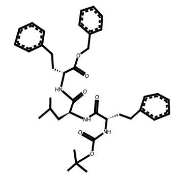 CC(C)C[C@H](NC(=O)[C@H](CCc1ccccc1)NC(=O)OC(C)(C)C)C(=O)N[C@H](CCc1ccccc1)C(=O)OCc1ccccc1